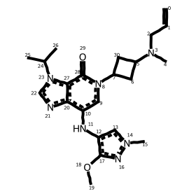 C=CCN(C)C1CC(n2cc(Nc3cn(C)nc3OC)c3ncn(C(C)C)c3c2=O)C1